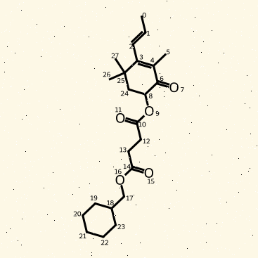 C/C=C/C1=C(C)C(=O)C(OC(=O)CCC(=O)OCC2CCCCC2)CC1(C)C